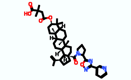 C=C(C)[C@@H]1CC[C@]2(C(=O)N3CCCC3c3nc(-c4cccnc4)no3)CC[C@]3(C)[C@H](CC[C@@H]4[C@@]5(C)CC[C@H](OC(=O)CC(C)(C)C(=O)O)C(C)(C)[C@@H]5CC[C@]43C)[C@@H]12